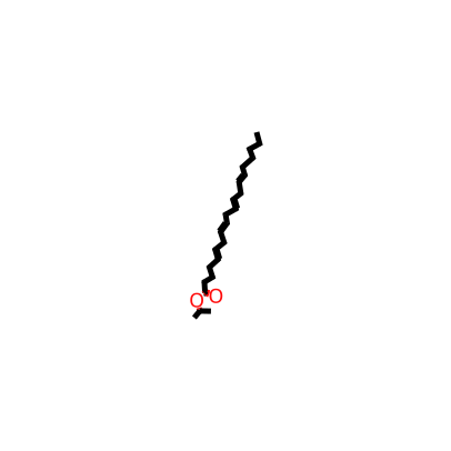 CCCCCC=CCC=CCC=CCC=CCCCC(=O)OC(C)C